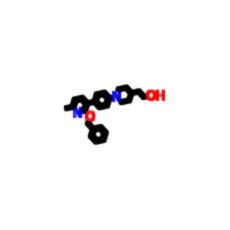 Cc1ccc(-c2ccc(N3CCC(CCO)CC3)cc2)c(OCc2ccccc2)n1